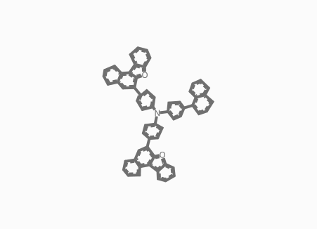 c1ccc2c(-c3ccc(N(c4ccc(-c5cc6ccccc6c6c5oc5ccccc56)cc4)c4ccc(-c5cc6ccccc6c6c5oc5ccccc56)cc4)cc3)cccc2c1